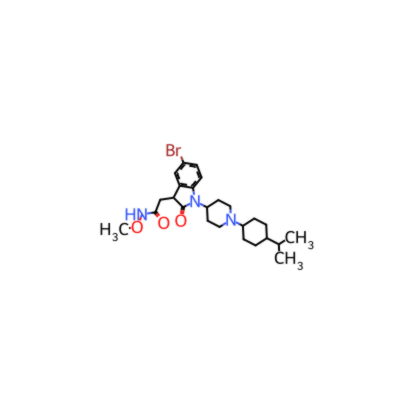 CONC(=O)CC1C(=O)N(C2CCN(C3CCC(C(C)C)CC3)CC2)c2ccc(Br)cc21